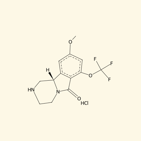 COc1cc(OC(F)(F)F)c2c(c1)[C@H]1CNCCN1C2=O.Cl